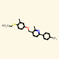 Cc1cc(OCc2ccc(-c3ccc(C(F)(F)F)cc3)nc2C)ccc1SCC(=O)O